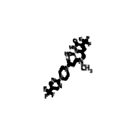 CN(Cc1cc(C(F)(F)F)c(=O)[nH]n1)[C@@H](CO)CC(=O)N1CCN(c2ncc(C(F)(F)F)cn2)CC1